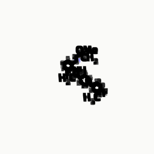 C=C(/C=C/c1cccc(F)c1NC(=C)C1CCN(c2ccc(F)c(C)c2)CC1)OC